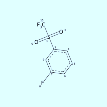 O=S(=O)(c1c[c]cc(F)c1)C(F)(F)F